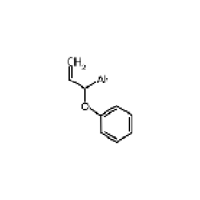 C=C[CH]([Al])Oc1ccccc1